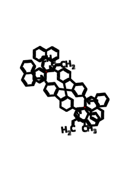 C=C/C=C(\C=C)N(c1ccc2c(c1)C1(C3=C2CCC(N(C2=C4C=CC=CC4CC=C2)/C(C=C)=C/C)=C3)c2cc(N(c3ccccc3)c3cccc4ccccc34)ccc2-c2ccc(N(c3ccccc3)c3cccc4ccccc34)cc21)c1cccc2ccccc12